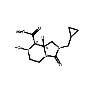 COC(=O)[C@H]1[C@@H]2CN(CC3CC3)C(=O)N2CCN1O